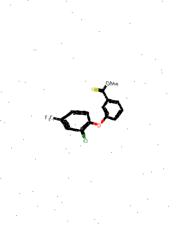 COC(=S)c1cccc(Oc2ccc(C(F)(F)F)cc2Cl)c1